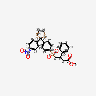 COC(=O)CC(CS(=O)(=O)c1ccc(C2(c3ccc([N+](=O)[O-])cc3)SCCS2)cc1)c1ccccc1